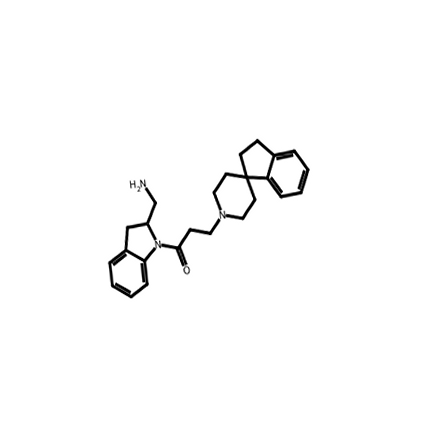 NCC1Cc2ccccc2N1C(=O)CCN1CCC2(CCc3ccccc32)CC1